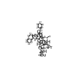 C=CC[C@H](NC(=O)[C@H](Cc1cccc2ccccc12)NC(=O)OCc1ccccc1)C(=O)N[C@@H](CC(C)C)[C@@H](O)CC(=O)NCC(C)CC